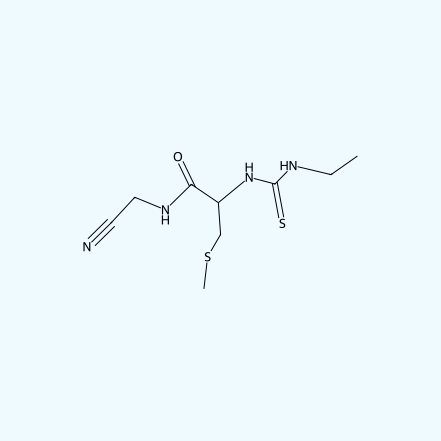 CCNC(=S)NC(CSC)C(=O)NCC#N